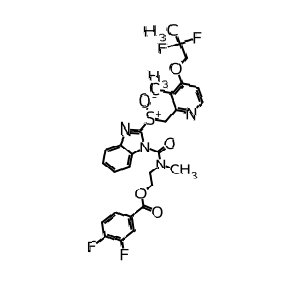 Cc1c(OCC(C)(F)F)ccnc1C[S@@+]([O-])c1nc2ccccc2n1C(=O)N(C)CCOC(=O)c1ccc(F)c(F)c1